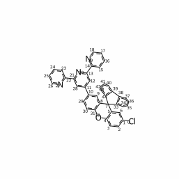 Clc1ccc2c(c1)C1(c3cc(-c4cc(-c5ccccn5)nc(-c5ccccn5)c4)ccc3O2)c2ccccc2-c2ccccc21